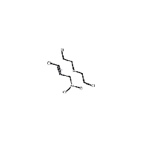 Cl/C=C/C[As](Cl)Cl.ClCCSCCCl